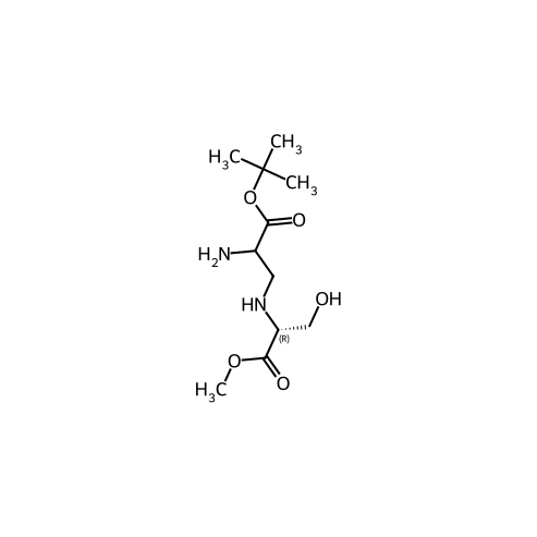 COC(=O)[C@@H](CO)NCC(N)C(=O)OC(C)(C)C